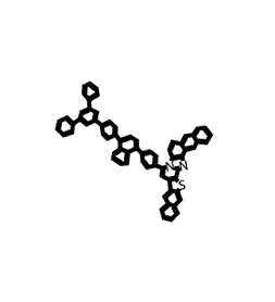 c1ccc(-c2cc(-c3ccccc3)cc(-c3ccc(-c4ccc(-c5ccc(-c6cc7c8cc9ccccc9cc8sc7c7nc8c9cc%10ccccc%10cc9ccc8n67)cc5)c5ccccc45)cc3)c2)cc1